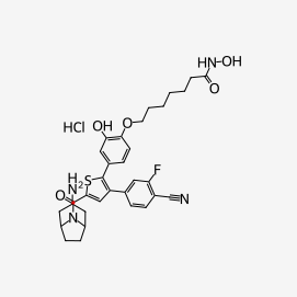 Cl.N#Cc1ccc(-c2cc(C(=O)N3C4CCC3CC(N)C4)sc2-c2ccc(OCCCCCCC(=O)NO)c(O)c2)cc1F